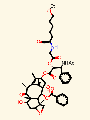 CCOCCCCCC(=C=O)NCC(=O)O[C@@H](C(=O)O[C@H]1C[C@@]2(O)[C@@H](OC(=O)c3ccccc3)C3C(C)(C(=O)[C@H](C)C(=C1C)C2(C)C)[C@@H](O)CC1OC[C@]13C)[C@@H](NC(C)=O)c1ccccc1